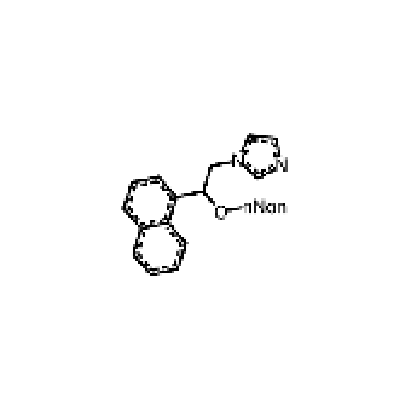 CCCCCCCCCOC(Cn1ccnc1)c1cccc2ccccc12